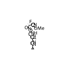 COc1cc([C@@H](C)C(=O)N2CC[C@@]3(CCc4cc(-c5ccc(C6CC6)nn5)c(C)nc4N3)C2)c(F)cn1